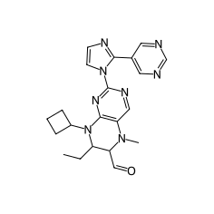 CCC1C(C=O)N(C)c2cnc(-n3ccnc3-c3cncnc3)nc2N1C1CCC1